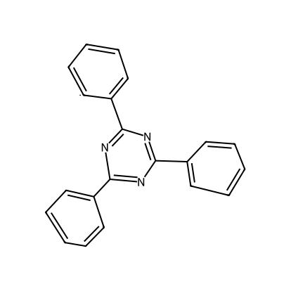 [c]1ccccc1-c1nc(-c2ccccc2)nc(-c2ccccc2)n1